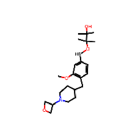 COc1cc(BOC(C)(C)C(C)(C)O)ccc1CC1CCN(C2COC2)CC1